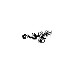 C[C@@H](O)[C@H](NC(=O)c1ccc(CCN2CCCC2)nc1)C(=O)NO